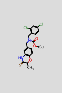 CC1Oc2ccc(CN(Cc3ccc(Cl)cc3Cl)C(=O)OC(C)(C)C)cc2NC1=S